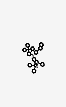 c1ccc(-c2nn3c(-c4ccccc4)cc4cc(N(c5ccc(-c6ccc7ccccc7c6)cc5)c5cccc6c5-c5ccccc5C6(c5ccccc5)c5ccccc5)ccc4c3c2-c2ccccc2)cc1